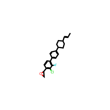 C/C=C/C1CCC(c2ccc(-c3ccc(C4CO4)c(Cl)c3F)cc2)CC1